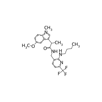 CCCCNc1nc(C(F)(F)F)ccc1CNC(=O)C(C)c1cn(C)c2ccc(OC)cc12